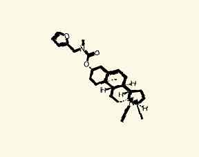 C[C@H]1[C@H]2CC[C@H]3[C@@H]4CC=C5C[C@@H](OC(=O)N(C)Cc6ccco6)CC[C@]5(C)[C@H]4CC[C@]23CN1C